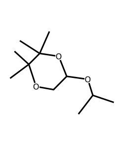 CC(C)OC1COC(C)(C)C(C)(C)O1